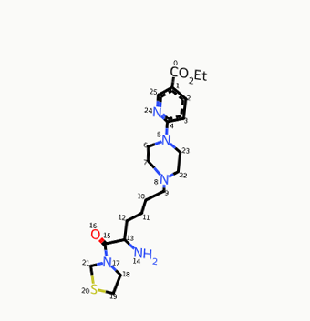 CCOC(=O)c1ccc(N2CCN(CCCCC(N)C(=O)N3CCSC3)CC2)nc1